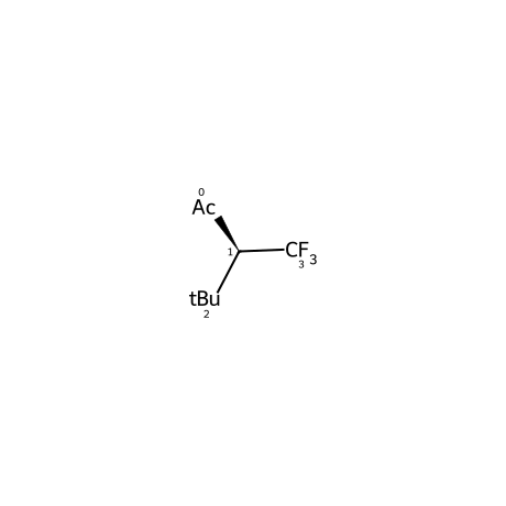 CC(=O)[C@H](C(C)(C)C)C(F)(F)F